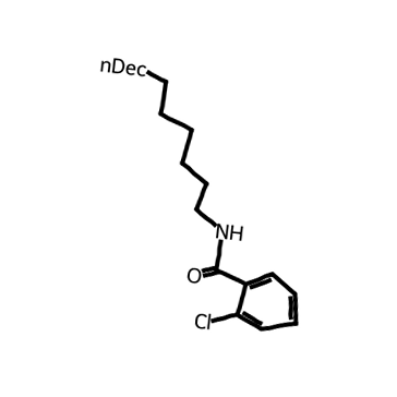 CCCCCCCCCCCCCCCCNC(=O)c1ccccc1Cl